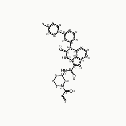 C=CC(=O)N1CCCC(NC(=O)c2sc3nccc4c3c2NC(=O)N4c2cccc(-c3ccc(C)cc3)c2)C1